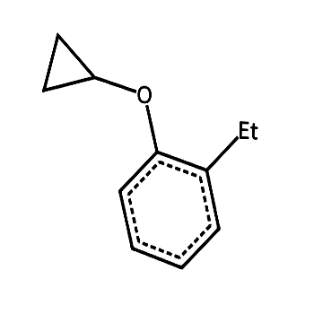 CCc1ccccc1OC1CC1